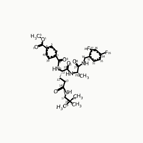 COC(=O)c1ccc(C(=O)N[C@@H](CCC(=O)NCC(C)(C)C)C(=O)N[C@@H](C)C(=O)NCc2ccc(F)cc2F)cc1